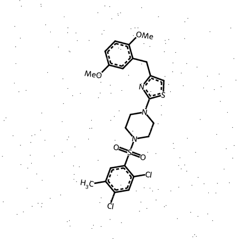 COc1ccc(OC)c(Cc2csc(N3CCN(S(=O)(=O)c4cc(C)c(Cl)cc4Cl)CC3)n2)c1